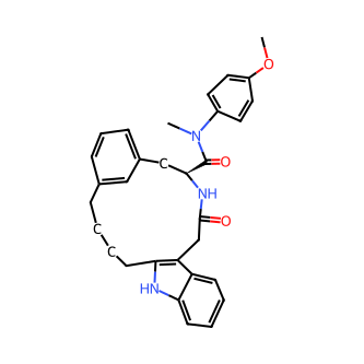 COc1ccc(N(C)C(=O)[C@@H]2Cc3cccc(c3)CCCCc3[nH]c4ccccc4c3CC(=O)N2)cc1